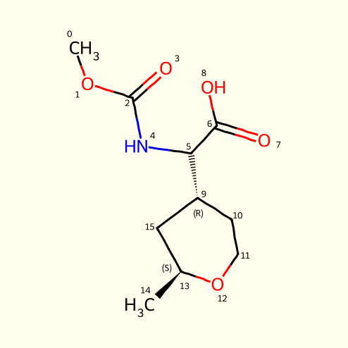 COC(=O)NC(C(=O)O)[C@@H]1CCO[C@@H](C)C1